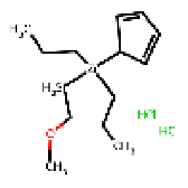 CC[CH2][Zr]([CH2]CC)([SiH2]COC)[CH]1C=CC=C1.Cl.Cl